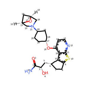 NC(=O)[C@@H](O)C[C@H]1CCc2sc3nccc(O[C@H]4CC[C@H](N5C[C@H]6C[C@@H](C5)O6)CC4)c3c21